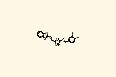 Fc1ccc(CSc2nnc(CSc3nc4ccccc4s3)o2)cc1F